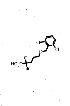 O=C(O)C(Cl)(Br)CCCOCc1c(Cl)cccc1Cl